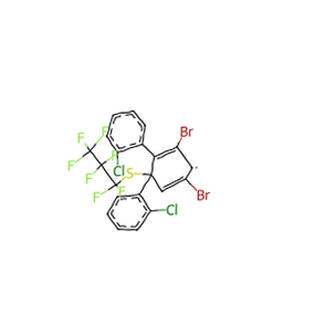 FC(F)(F)C(F)(F)C(F)(F)SC1(c2ccccc2Cl)C=C(Br)[CH]C(Br)=C1c1ccccc1Cl